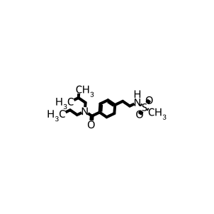 CCCN(CC(C)C)C(=O)C1=CC=C(CCNS(C)(=O)=O)CC1